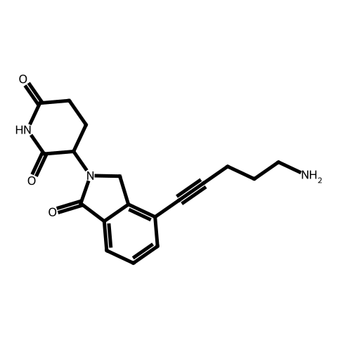 NCCCC#Cc1cccc2c1CN(C1CCC(=O)NC1=O)C2=O